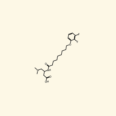 CN(C)CC(CC(=O)O)NC(=O)CCCCCCCCOc1cccc(F)c1F